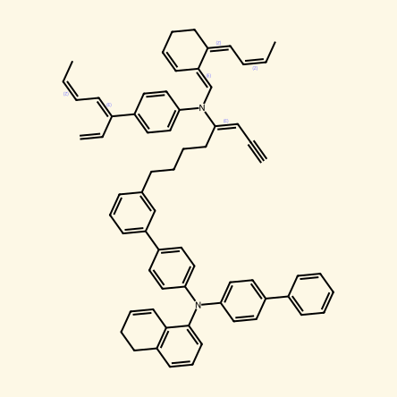 C#C/C=C(\CCCCc1cccc(-c2ccc(N(c3ccc(-c4ccccc4)cc3)c3cccc4c3C=CCC4)cc2)c1)N(\C=C1/C=CCC/C1=C/C=C\C)c1ccc(/C(C=C)=C/C=C\C)cc1